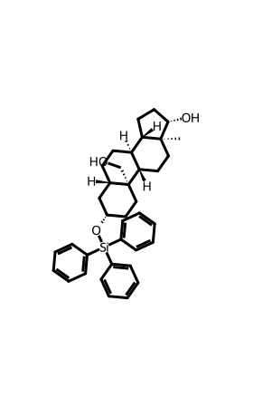 C[C@]12CC[C@H]3[C@@H](CC[C@H]4C[C@@H](O[Si](c5ccccc5)(c5ccccc5)c5ccccc5)CC[C@@]43CO)[C@@H]1CC[C@@H]2O